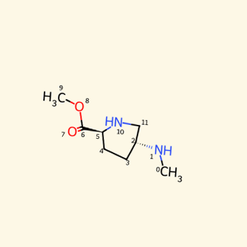 CN[C@@H]1CC[C@@H](C(=O)OC)NC1